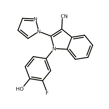 N#Cc1c(-n2cccn2)n(-c2ccc(O)c(F)c2)c2ccccc12